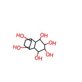 OC1C(O)C(O)C2C3CCC(C(O)C3O)C2C1O